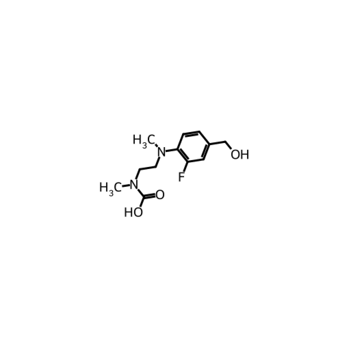 CN(CCN(C)c1ccc(CO)cc1F)C(=O)O